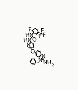 Nc1nc2ccc(Oc3ccc(NC(=O)Nc4cc(C(F)(F)F)ccc4F)nc3)cc2n1Cc1ccccc1